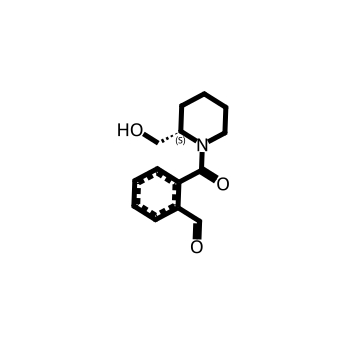 O=Cc1ccccc1C(=O)N1CCCC[C@H]1CO